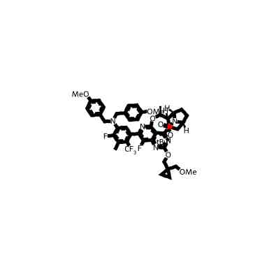 COCC1(COc2nc3c4c(nc(-c5cc(N(Cc6ccc(OC)cc6)Cc6ccc(OC)cc6)c(F)c(C)c5C(F)(F)F)c(F)c4n2)O[C@@H](C)[C@@H]2[C@@H]4CC[C@H](CN32)N4C(=O)OC(C)(C)C)CC1